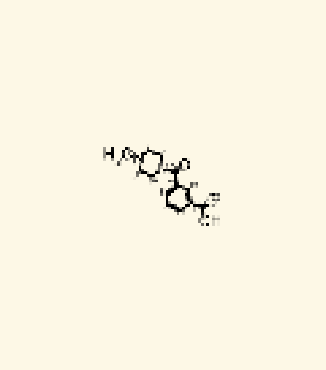 CN1CCN(C(=O)c2cccc(C(=O)O)c2)CC1